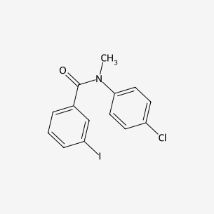 CN(C(=O)c1cccc(I)c1)c1ccc(Cl)cc1